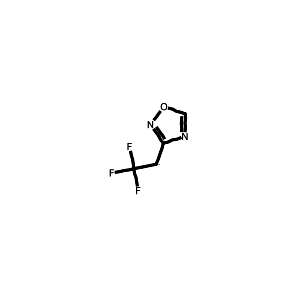 FC(F)(F)[CH]c1ncon1